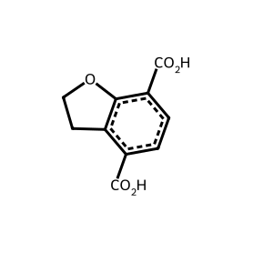 O=C(O)c1ccc(C(=O)O)c2c1CCO2